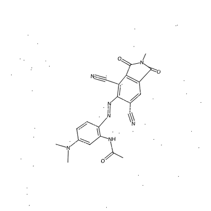 CC(=O)Nc1cc(N(C)C)ccc1/N=N/c1c(C#N)cc2c(c1C#N)C(=O)N(C)C2=O